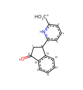 O=C(O)c1cccc(C2CC(=O)c3ccccc32)n1